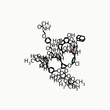 CN[C@H](CC(C)C)C(=O)N[C@H]1C(=O)N[C@@H](CC(=O)NC(=O)Nc2ccc(OCCNC(C)=O)cc2)C(=O)N[C@H]2C(=O)N[C@H]3C(=O)N[C@H](C(=O)N[C@H](C(=O)NC4C5CC6CC(C5)CC4C6)c4cc(O)cc(C)c4-c4cc3ccc4O)[C@H](O)c3ccc(c(Cl)c3)Oc3cc2cc(c3O[C@@H]2O[C@H](CO)[C@@H](O)[C@H](O)[C@H]2O[C@H]2C[C@](C)(N)[C@H](O)[C@H](C)O2)Oc2ccc(cc2C)[C@H]1O